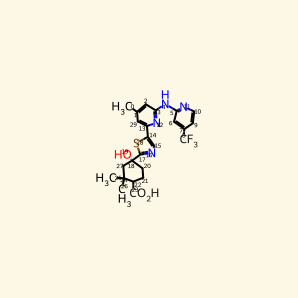 Cc1cc(Nc2cc(C(F)(F)F)ccn2)nc(-c2cnc(C3(O)CCC(C(=O)O)C(C)(C)C3)s2)c1